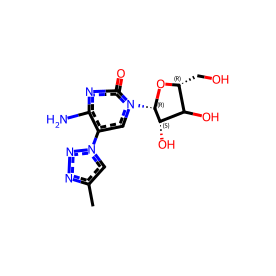 Cc1cn(-c2cn([C@@H]3O[C@H](CO)C(O)[C@@H]3O)c(=O)nc2N)nn1